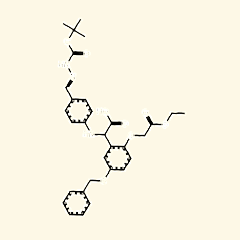 CCOC(=O)COc1ccc(OCc2ccccc2)cc1C(Nc1ccc(C=NNC(=O)OC(C)(C)C)cc1)C(=O)O